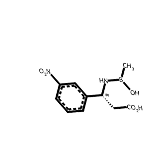 CB(O)N[C@H](CC(=O)O)c1cccc([N+](=O)[O-])c1